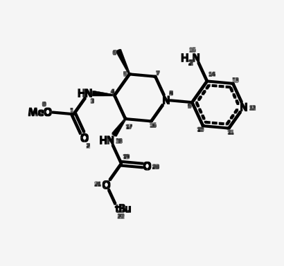 COC(=O)N[C@H]1[C@@H](C)CN(c2ccncc2N)C[C@H]1NC(=O)OC(C)(C)C